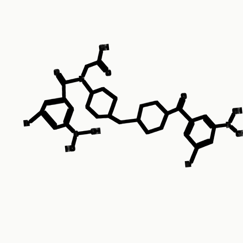 O=C(O)CN(C(=O)c1cc(Br)cc(B(O)O)c1)C1CCC(CC2CCC(C(=O)c3cc(Br)cc(B(O)O)c3)CC2)CC1